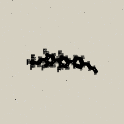 CCCCc1ccc(-c2cc(F)c(-c3cc(F)c(/C=C/C(F)(F)F)c(F)c3)c(F)c2)cc1